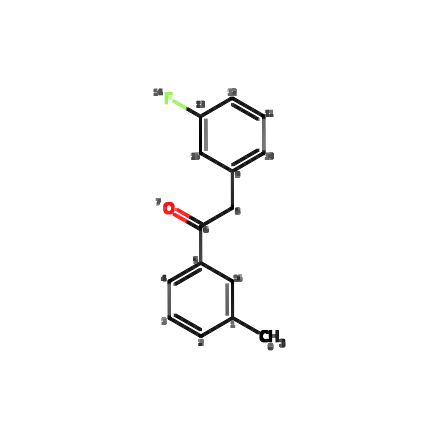 Cc1cccc(C(=O)Cc2cccc(F)c2)c1